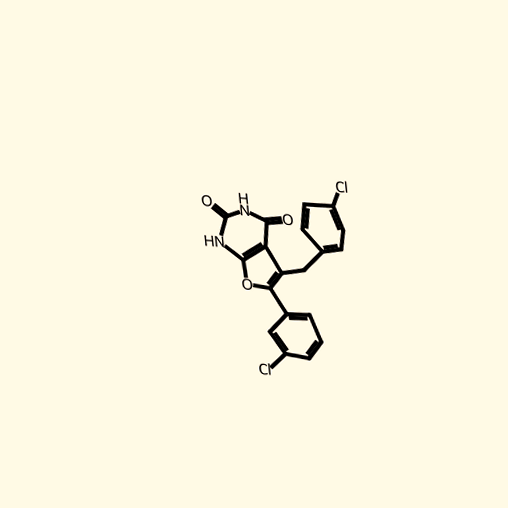 O=c1[nH]c(=O)c2c(Cc3ccc(Cl)cc3)c(-c3cccc(Cl)c3)oc2[nH]1